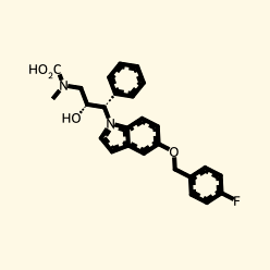 CN(C[C@@H](O)[C@H](c1ccccc1)n1ccc2cc(OCc3ccc(F)cc3)ccc21)C(=O)O